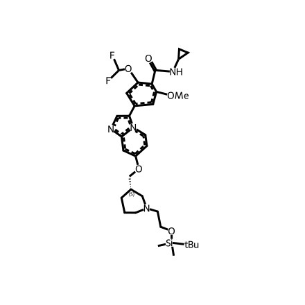 COc1cc(-c2cnc3cc(OC[C@H]4CCCN(CCO[Si](C)(C)C(C)(C)C)C4)ccn23)cc(OC(F)F)c1C(=O)NC1CC1